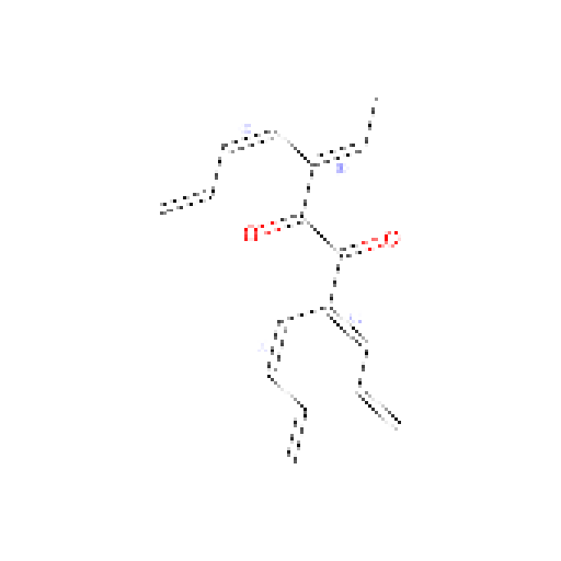 C=C/C=C\C(=C/C)C(=O)C(=O)C(/C=C\C=C)=C/C=C